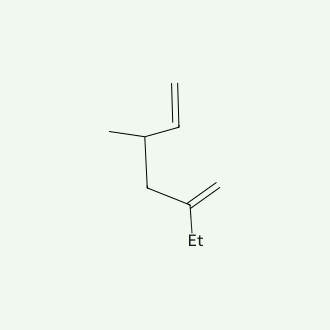 C=CC(C)CC(=C)CC